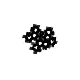 O=P(c1cc2cccnc2c2ncccc12)(c1cc2cccnc2c2ncccc12)c1cc2cccnc2c2ncccc12